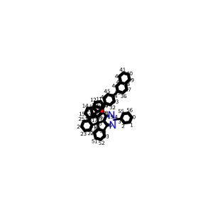 c1ccc(-c2nc3c(c(-c4cccc5ccccc45)n2)C2(c4ccccc4-c4ccc(-c5ccc(-c6ccc7ccccc7c6)cc5)cc42)c2ccccc2-3)cc1